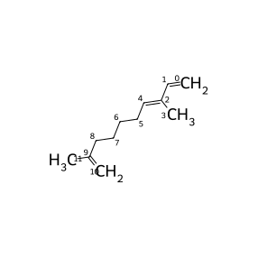 C=C/C(C)=C/CCCCC(=C)C